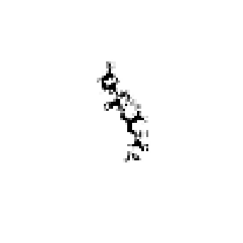 CC(C)(C)OC(=O)NCC(Cn1nnn(-c2ccc(Br)s2)c1=O)=C(F)F